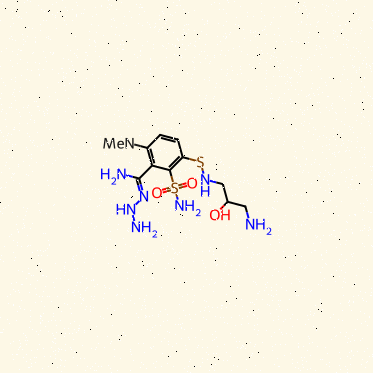 CNc1ccc(SNCC(O)CN)c(S(N)(=O)=O)c1/C(N)=N/NN